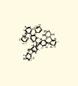 c1ccc(-c2cccc(-c3ccccc3)c2-c2ccc(N(c3ccc(-c4ccccc4C4CCCCC4)cc3)c3ccc4c(c3)sc3ccccc34)cc2)cc1